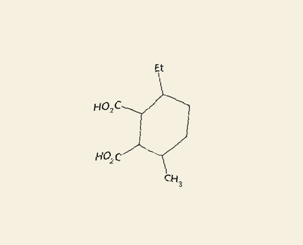 CCC1CCC(C)C(C(=O)O)C1C(=O)O